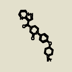 CC(C)N1CCC(Oc2ccc(N3CCN(C(=O)c4cnn5cccnc45)CC3=O)cc2)CC1